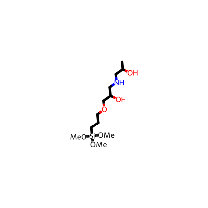 CO[Si](CCCOCC(O)CNCC(C)O)(OC)OC